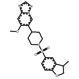 COc1cc2ncnn2cc1C1CCN(S(=O)(=O)c2ccc3c(c2)C(C)CO3)CC1